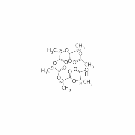 CC(=O)O[C@@H](C)C(=O)O[C@@H](C)C(=O)O[C@@H](C)C(=O)O[C@@H](C)C(=O)O[C@@H](C)C(=O)O